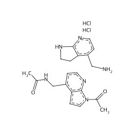 CC(=O)NCc1ccnc2c1ccn2C(C)=O.Cl.Cl.NCc1ccnc2c1CCN2